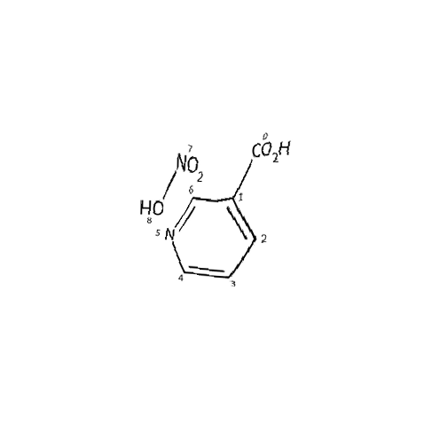 O=C(O)c1cccnc1.O=[N+]([O-])O